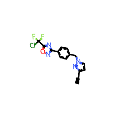 C#Cc1ccn(Cc2ccc(-c3noc(C(F)(F)Cl)n3)cc2)n1